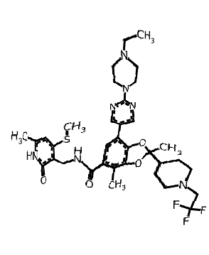 CCN1CCN(c2ncc(-c3cc(C(=O)NCc4c(SC)cc(C)[nH]c4=O)c(C)c4c3OC(C)(C3CCN(CC(F)(F)F)CC3)O4)cn2)CC1